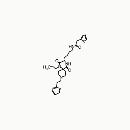 CCCN1C(=O)[C@H](CCCCNC(=O)Cc2cccs2)NC(=O)C12CCN(CCc1ccccc1)CC2